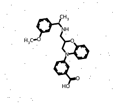 COc1cccc([C@@H](C)NCC2CN(c3cccc(C(=O)O)c3)c3ccccc3O2)c1